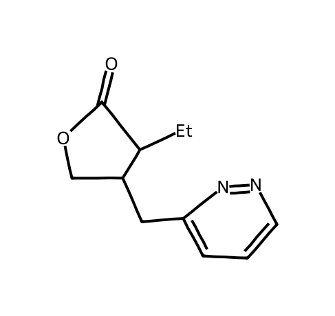 CCC1C(=O)OCC1Cc1cccnn1